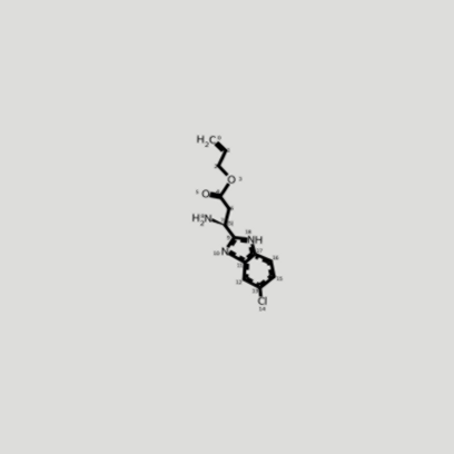 C=CCOC(=O)C[C@H](N)c1nc2cc(Cl)ccc2[nH]1